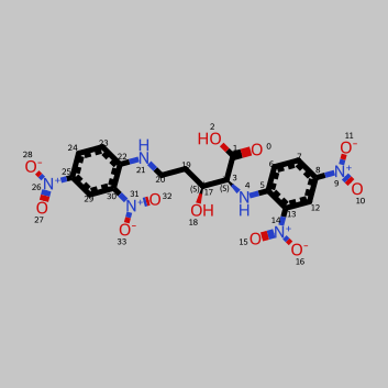 O=C(O)[C@@H](Nc1ccc([N+](=O)[O-])cc1[N+](=O)[O-])[C@@H](O)CCNc1ccc([N+](=O)[O-])cc1[N+](=O)[O-]